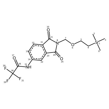 C[Si](C)(C)CCOCN1C(=O)c2ccc(NC(=O)C(F)(F)F)cc2C1=O